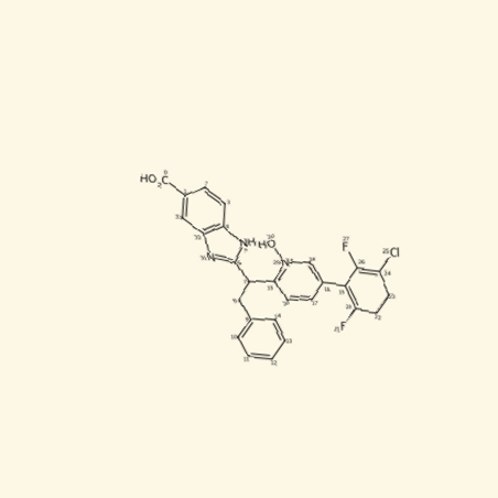 O=C(O)c1ccc2[nH]c(C(Cc3ccccc3)c3ccc(C4=C(F)CCC(Cl)=C4F)c[n+]3O)nc2c1